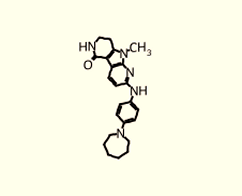 Cn1c2c(c3ccc(Nc4ccc(N5CCCCCC5)cc4)nc31)C(=O)NCC2